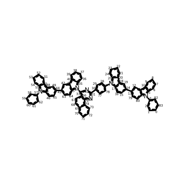 c1ccc(-n2c3ccccc3c3cc(-c4ccc5c(c4)c4ccccc4n5-c4ccc(-c5nc(-n6c7ccccc7c7cc(-c8ccc9c(c8)c8ccccc8n9-c8ccccc8)ccc76)c6ccc7ccccc7c6n5)cc4)ccc32)cc1